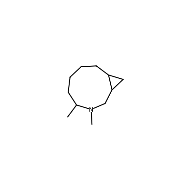 CC1CCCCC2CC2CN1C